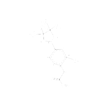 COC(=O)Cc1ccc(B2OC(C)(C)C(C)(C)O2)cc1C(F)(F)F